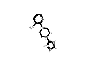 Nc1cccnc1N1CCN(c2ncsn2)CC1